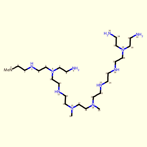 CNCCNCCN(CCN)CCNCCN(C)CCN(C)CCNCCNCCN(CCN)CCN